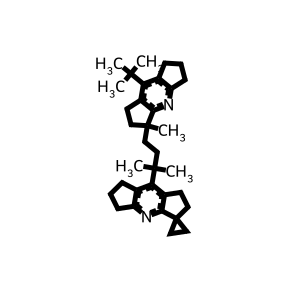 CC(C)(C)c1c2c(nc3c1CCC3(C)CCC(C)(C)c1c3c(nc4c1CCC41CC1)CCC3)CCC2